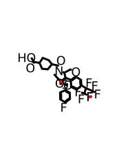 O=C(O)C1CCC(C(=O)N2CCC3(S(=O)(=O)c4ccc(F)cc4)c4ccc(C(F)(C(F)(F)F)C(F)(F)F)cc4OCC23)CC1